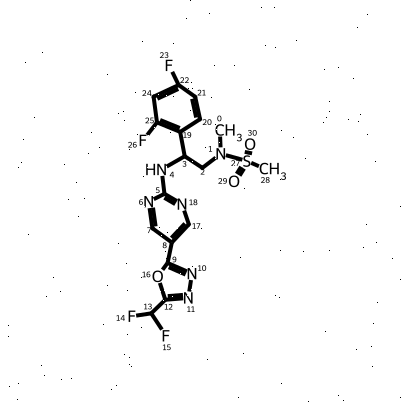 CN(CC(Nc1ncc(-c2nnc(C(F)F)o2)cn1)c1ccc(F)cc1F)S(C)(=O)=O